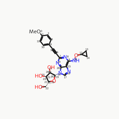 COc1ccc(C#Cc2nc(NOC3CC3)c3ncn([C@@H]4O[C@H](CO)[C@@H](O)[C@H]4O)c3n2)cc1